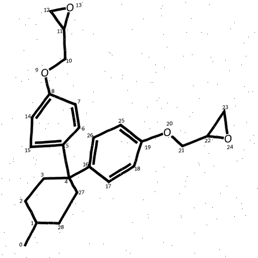 CC1CCC(c2ccc(OCC3CO3)cc2)(c2ccc(OCC3CO3)cc2)CC1